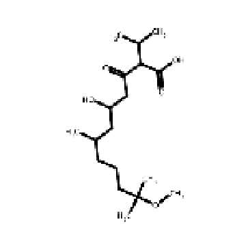 COC(C)(C)CCCC(C)CC(O)CC(=O)C(C(=O)O)C(C)C